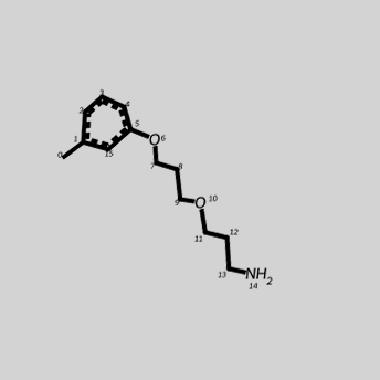 Cc1cccc(OCCCOCCCN)c1